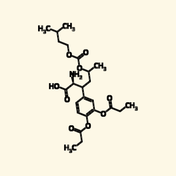 CCC(=O)Oc1ccc(C(CC(C)OC(=O)OCCC(C)C)[C@H](N)C(=O)O)cc1OC(=O)CC